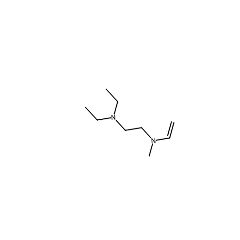 C=CN(C)CCN(CC)CC